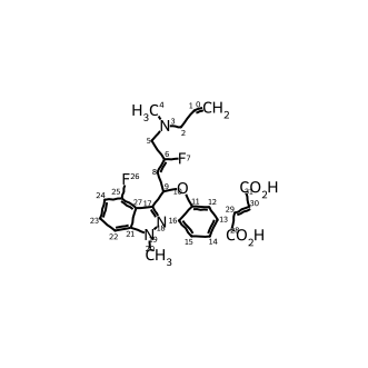 C=CCN(C)CC(F)=CC(Oc1ccccc1)c1nn(C)c2cccc(F)c12.O=C(O)C=CC(=O)O